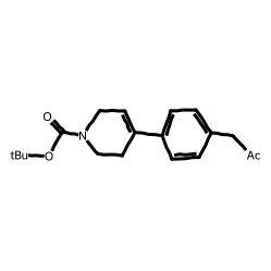 CC(=O)Cc1ccc(C2=CCN(C(=O)OC(C)(C)C)CC2)cc1